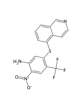 Nc1cc(Sc2cccc3cnccc23)c(C(F)(F)F)cc1[N+](=O)[O-]